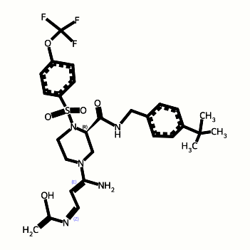 C=C(O)/N=C\C=C(/N)N1CCN(S(=O)(=O)c2ccc(OC(F)(F)F)cc2)[C@@H](C(=O)NCc2ccc(C(C)(C)C)cc2)C1